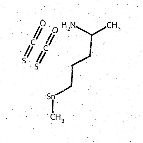 O=C=S.O=C=S.[CH3][Sn][CH2]CCC(C)N